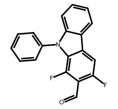 O=Cc1c(F)cc2c3ccccc3n(-c3ccccc3)c2c1F